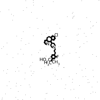 CC(C)(C(=O)O)c1ccc(CCCN2CCC(=C3c4ccc(Cl)cc4CCc4cccnc43)CC2)c(F)c1